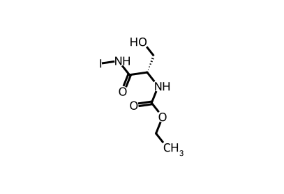 CCOC(=O)N[C@@H](CO)C(=O)NI